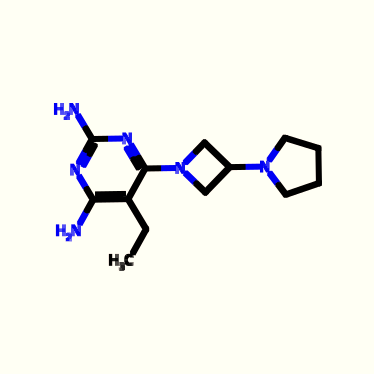 CCc1c(N)nc(N)nc1N1CC(N2CCCC2)C1